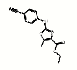 CCOC(=O)c1nc(Nc2ccc(C#N)cc2)sc1C